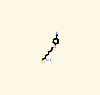 N#Cc1ccc(OCCCCC[C@@H](N)CS)cc1